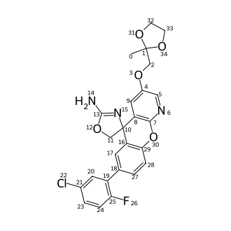 CC1(COc2cnc3c(c2)C2(COC(N)=N2)c2cc(-c4cc(Cl)ccc4F)ccc2O3)OCCO1